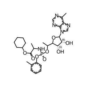 Cc1ccccc1OP(=O)(NC(C)C(=O)OC1CCCCC1)OC(C)C1OC(n2cnc3c(C)ncnc32)[C@H](O)[C@@H]1O